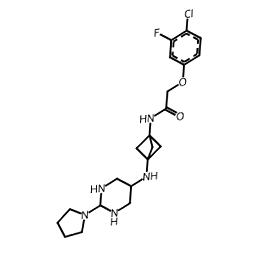 O=C(COc1ccc(Cl)c(F)c1)NC12CC(NC3CNC(N4CCCC4)NC3)(C1)C2